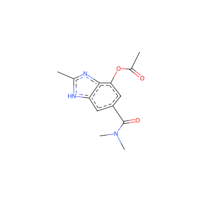 CC(=O)Oc1cc(C(=O)N(C)C)cc2[nH]c(C)nc12